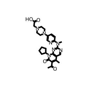 CC(=O)c1c(C)c2cnc(N(C)c3ccc(N4CCN(CC(=O)O)CC4)cn3)nc2n(C2CCCC2)c1=O